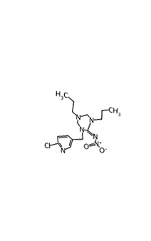 CCCN1CN(CCC)C(=N[N+](=O)[O-])N(Cc2ccc(Cl)nc2)C1